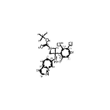 CC(C)(C)OC(=O)N1CC(Nc2ccc3ccnn3c2)(c2c(F)ccc(Cl)c2Cl)C1